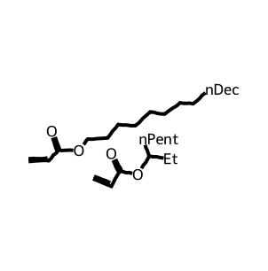 C=CC(=O)OC(CC)CCCCC.C=CC(=O)OCCCCCCCCCCCCCCCCCC